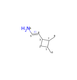 CC1CC(/C=C/N)C1C